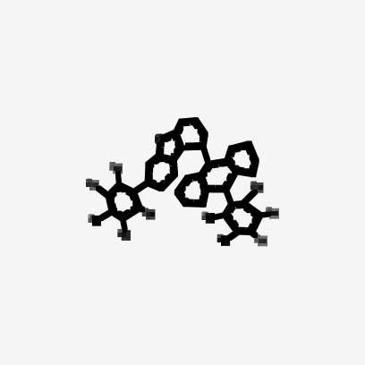 [2H]c1c([2H])c([2H])c(-c2ccc3c(c2)oc2cccc(-c4c5ccccc5c(-c5c([2H])c([2H])c([2H])c([2H])c5[2H])c5ccccc45)c23)c([2H])c1[2H]